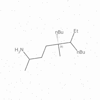 CCCCC(CC)[C@](C)(CCCC)CCC(C)N